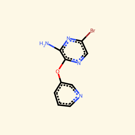 Nc1nc(Br)cnc1Oc1cccnc1